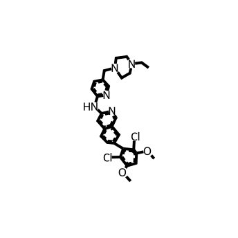 CCN1CCN(Cc2ccc(Nc3cc4ccc(-c5c(Cl)c(OC)cc(OC)c5Cl)cc4cn3)nc2)CC1